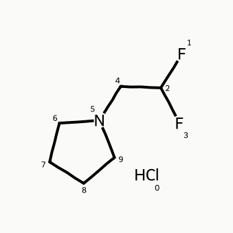 Cl.FC(F)CN1CCCC1